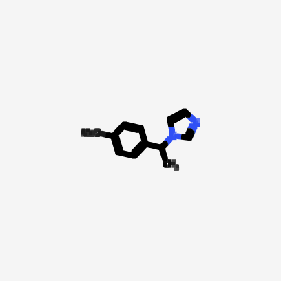 COc1ccc(C(C)n2ccnc2)cc1